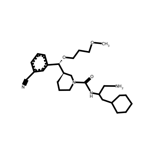 COCCCO[C@@H](c1cccc(C#N)c1)[C@@H]1CCCN(C(=O)NC(CN)CC2CCCCC2)C1